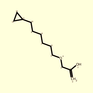 C=C(O)COCCCCCCC1CC1